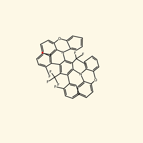 Fc1ccccc1-c1c(N2c3ccccc3Oc3ccccc32)c(C(F)(F)F)c(N2c3ccccc3Oc3ccccc32)c(-c2ccccc2F)c1C(F)(F)F